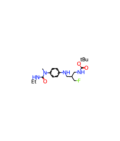 CCNC(=O)N(C)c1ccc(NCC(CF)CNC(=O)OC(C)(C)C)cc1